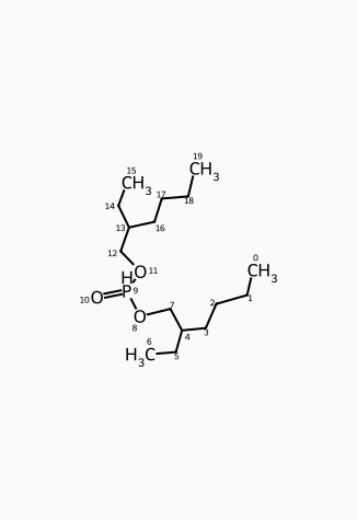 CCCCC(CC)CO[PH](=O)OCC(CC)CCCC